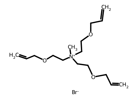 C=CCOCC[N+](C)(CCOCC=C)CCOCC=C.[Br-]